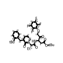 CC[C@@H](C(=O)NC(CC(=O)OC(C)(C)C)C(=O)COc1c(F)c(F)cc(F)c1F)n1nccc(Cc2ccccc2C(C)(C)C)c1=O